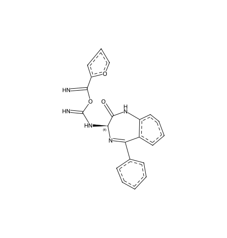 N=C(N[C@@H]1N=C(c2ccccc2)c2ccccc2NC1=O)OC(=N)c1ccco1